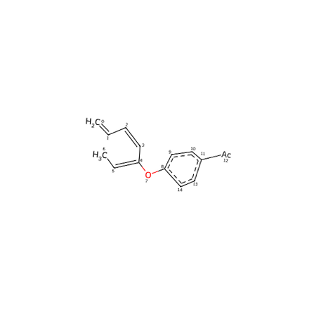 C=C/C=C\C(=C/C)Oc1ccc(C(C)=O)cc1